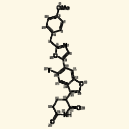 COc1ccc(Cc2ncc(-c3cc4occ(C5CCC(=O)NC5=O)c4cc3F)o2)cc1